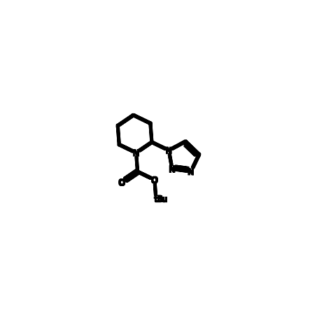 CC(C)(C)OC(=O)N1CCCCC1n1ccnn1